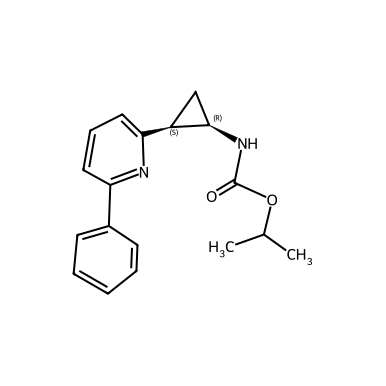 CC(C)OC(=O)N[C@@H]1C[C@@H]1c1cccc(-c2ccccc2)n1